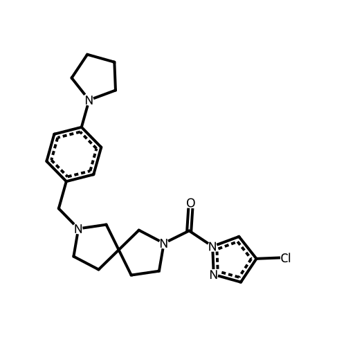 O=C(N1CCC2(CCN(Cc3ccc(N4CCCC4)cc3)C2)C1)n1cc(Cl)cn1